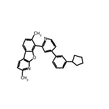 Cc1ccc2c(n1)oc1c(-c3cc(-c4cccc(C5CCCC5)c4)ccn3)c(C)ccc12